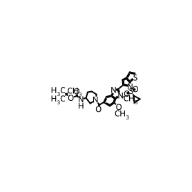 COc1cc(C(=O)N2CCCC(NC(=O)OC(C)(C)C)C2)cc2nc(-c3cc4ccsc4n3S(=O)(=O)C3CC3)n(C)c12